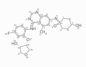 Cc1cc(N=S2(=O)CCC(O)CC2)cc2ncnc(Nc3ccc(F)cc3O[C@@H]3COC[C@@H]3O)c12